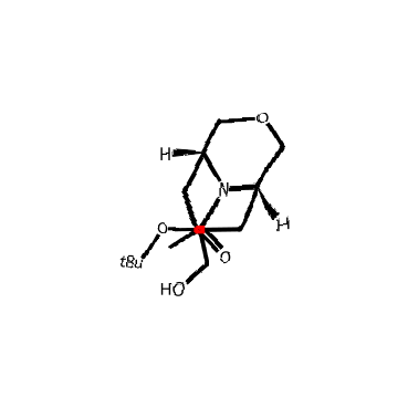 CC1(CO)C[C@H]2COC[C@@H](C1)N2C(=O)OC(C)(C)C